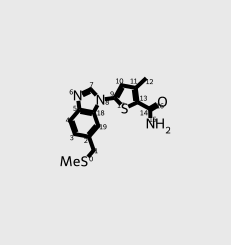 CSCc1ccc2ncn(-c3cc(C)c(C(N)=O)s3)c2c1